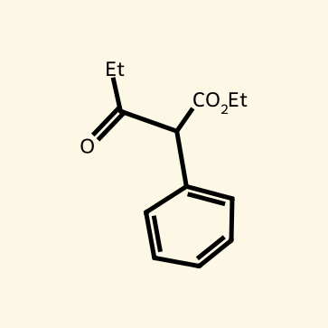 CCOC(=O)C(C(=O)CC)c1ccccc1